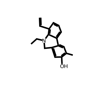 C=Cc1cccc2c1N(CC)Cc1cc(O)c(C)cc1-2